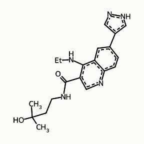 CCNc1c(C(=O)NCCC(C)(C)O)cnc2ccc(-c3cn[nH]c3)cc12